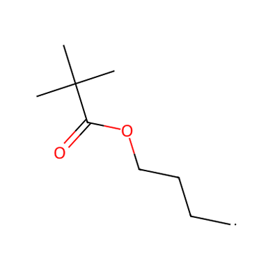 [CH2]CCCOC(=O)C(C)(C)C